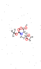 COC(=O)C1CC2(CCN1C(=O)OC(C)(C)C)OCCO2